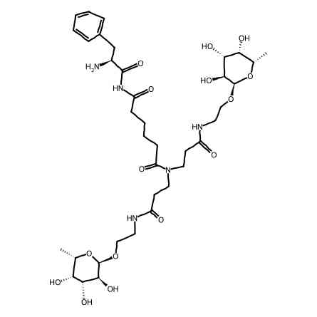 C[C@@H]1O[C@@H](OCCNC(=O)CCN(CCC(=O)NCCO[C@@H]2O[C@@H](C)[C@@H](O)[C@@H](O)[C@@H]2O)C(=O)CCCCC(=O)NC(=O)[C@@H](N)Cc2ccccc2)[C@@H](O)[C@H](O)[C@@H]1O